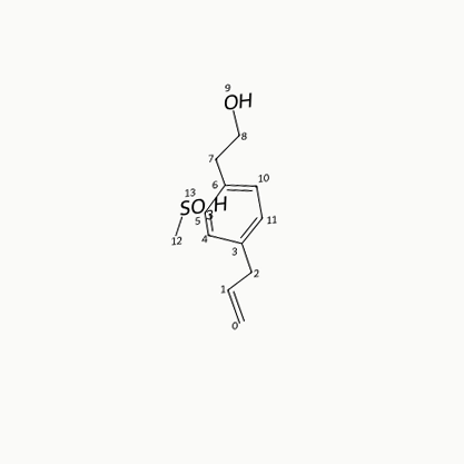 C=CCc1ccc(CCO)cc1.CS(=O)(=O)O